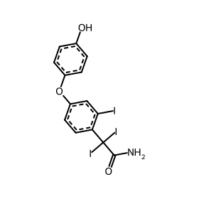 NC(=O)C(I)(I)c1ccc(Oc2ccc(O)cc2)cc1I